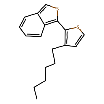 CCCCCCc1ccsc1-c1scc2ccccc12